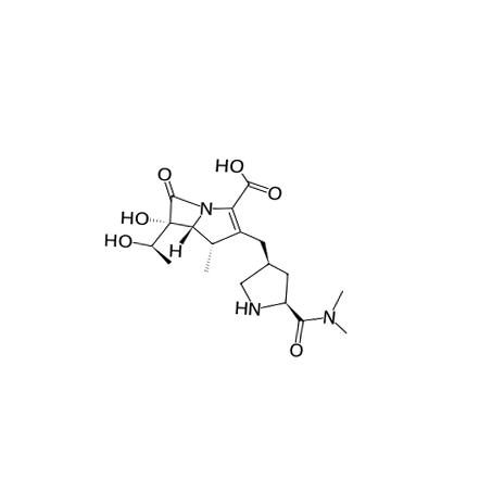 C[C@H]1C(C[C@@H]2CN[C@H](C(=O)N(C)C)C2)=C(C(=O)O)N2C(=O)[C@](O)([C@@H](C)O)[C@@H]12